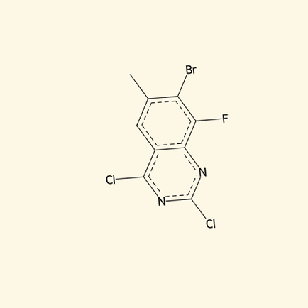 Cc1cc2c(Cl)nc(Cl)nc2c(F)c1Br